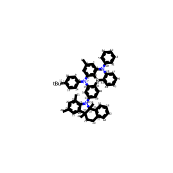 Cc1cc2c3c(c1)N(c1ccc(C(C)(C)C)cc1)c1cc(N4c5c(C)cc(C)cc5C5(C)CCc6ccccc6C45C)ccc1B3c1ccccc1N2c1ccccc1